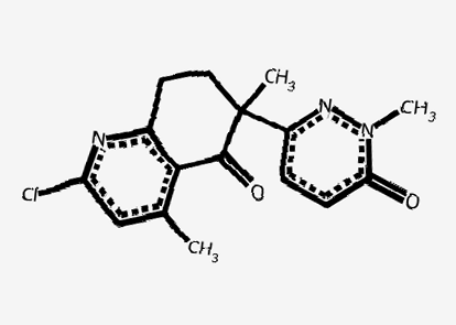 Cc1cc(Cl)nc2c1C(=O)C(C)(c1ccc(=O)n(C)n1)CC2